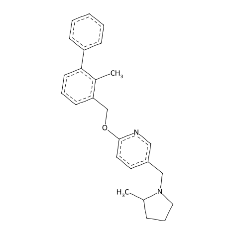 Cc1c(COc2ccc(CN3CCCC3C)cn2)cccc1-c1ccccc1